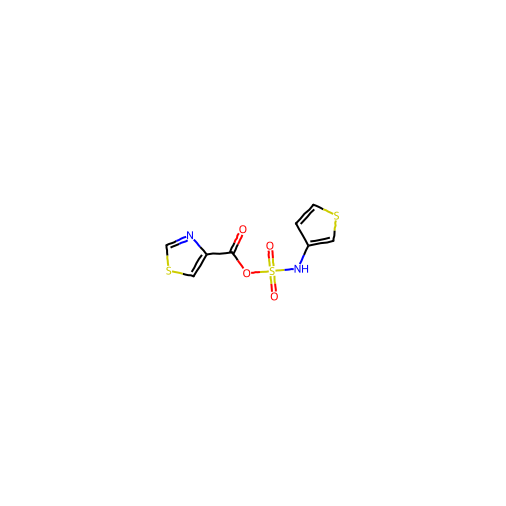 O=C(OS(=O)(=O)Nc1ccsc1)c1cscn1